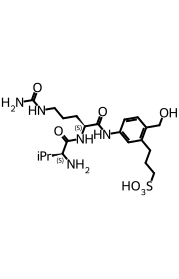 CC(C)[C@H](N)C(=O)N[C@@H](CCCNC(N)=O)C(=O)Nc1ccc(CO)c(CCCS(=O)(=O)O)c1